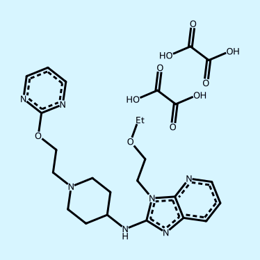 CCOCCn1c(NC2CCN(CCOc3ncccn3)CC2)nc2cccnc21.O=C(O)C(=O)O.O=C(O)C(=O)O